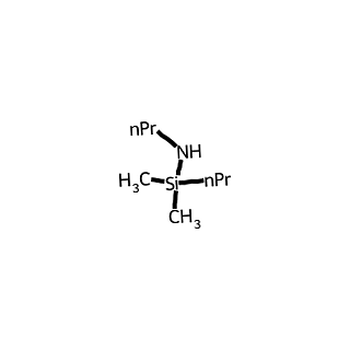 CCCN[Si](C)(C)CCC